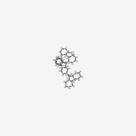 c1ccc(-c2cccc3sc4cccc(-n5c6ccccc6c6ccc(-n7c8ccccc8c8ccccc87)cc65)c4c23)cc1